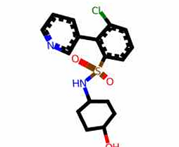 O=S(=O)(NC1CCC(O)CC1)c1cccc(Cl)c1-c1cccnc1